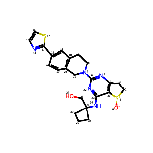 [O-][S@+]1CCc2nc(N3CCc4cc(-c5nccs5)ccc4C3)nc(NC3(CO)CCC3)c21